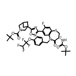 CC(C)(C)OC(=O)N[C@H]1CSc2cc(F)c(-c3noc(C45CC(CN(C(=O)OC(C)(C)C)C4)C5)n3)cc2N(Cc2ccc(OC(F)(F)C(F)F)cc2)C1=O